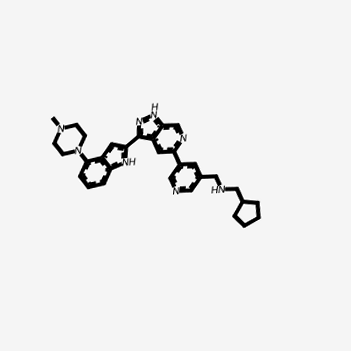 CN1CCN(c2cccc3[nH]c(-c4n[nH]c5cnc(-c6cncc(CNCC7CCCC7)c6)cc45)cc23)CC1